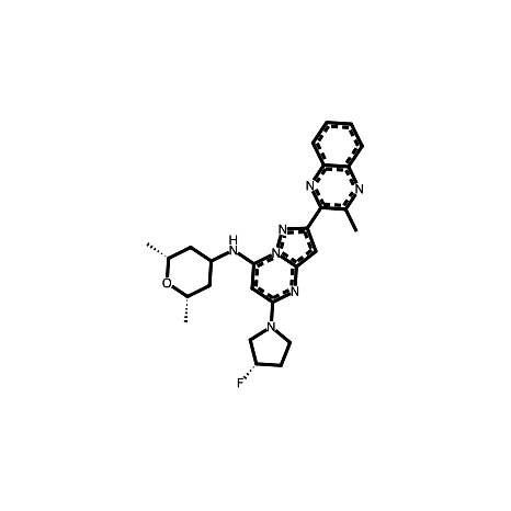 Cc1nc2ccccc2nc1-c1cc2nc(N3CC[C@H](F)C3)cc(NC3C[C@@H](C)O[C@@H](C)C3)n2n1